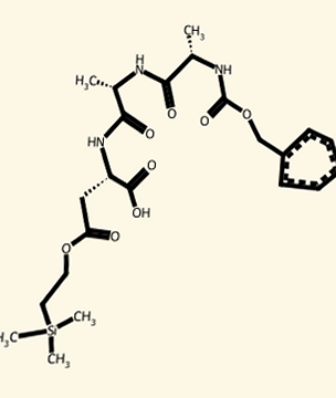 C[C@H](NC(=O)OCc1ccccc1)C(=O)N[C@@H](C)C(=O)N[C@@H](CC(=O)OCC[Si](C)(C)C)C(=O)O